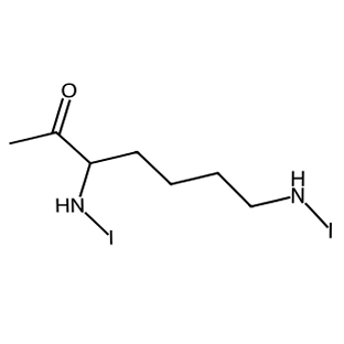 CC(=O)C(CCCCNI)NI